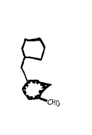 O=Cc1ccc(CC2CCCCC2)cc1